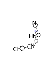 O=C(/C=C/c1ccncc1)NC1CCC(CN2CCC(c3ccc(Cl)cc3)CC2)C1